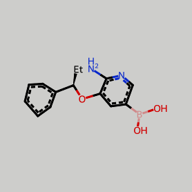 CC[C@@H](Oc1cc(B(O)O)cnc1N)c1ccccc1